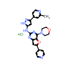 Cc1cc(-c2cc(Nc3nc(N4CCOCC4)c4oc(-c5ccncc5)cc4n3)[nH]n2)ccn1.Cl